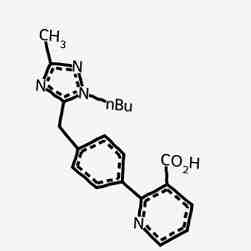 CCCCn1nc(C)nc1Cc1ccc(-c2ncccc2C(=O)O)cc1